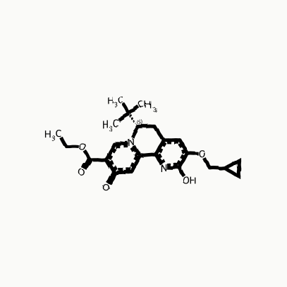 CCOC(=O)c1cn2c(cc1=O)-c1nc(O)c(OCC3CC3)cc1C[C@H]2C(C)(C)C